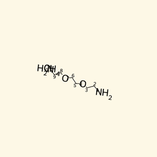 C.NCCOCCOCCN